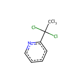 ClC(Cl)(Cl)C(Cl)(Cl)c1ccccn1